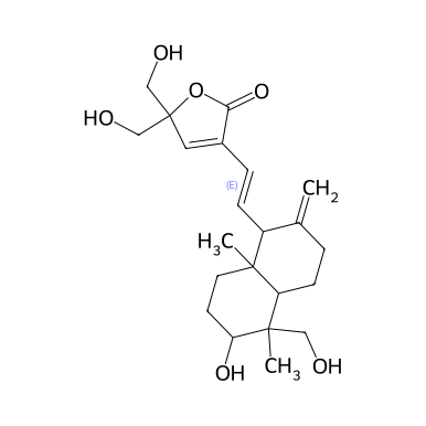 C=C1CCC2C(C)(CO)C(O)CCC2(C)C1/C=C/C1=CC(CO)(CO)OC1=O